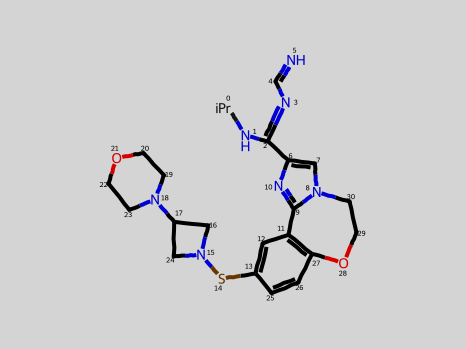 CC(C)N/C(=N\C=N)c1cn2c(n1)-c1cc(SN3CC(N4CCOCC4)C3)ccc1OCC2